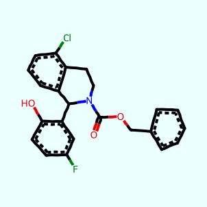 O=C(OCc1ccccc1)N1CCc2c(Cl)cccc2C1c1cc(F)ccc1O